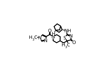 Cn1cnc(C(=O)N2CCC(CC3(C)SC(N[C@H]4C[C@@H]5CCC4C5)=NC3=O)CC2)c1